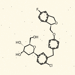 OC[C@H]1O[C@@H](c2ccc(Cl)c(Cc3ccc(OC[C@@H]4OCc5cc(F)ccc54)cc3)c2)C[C@@H](O)[C@@H]1O